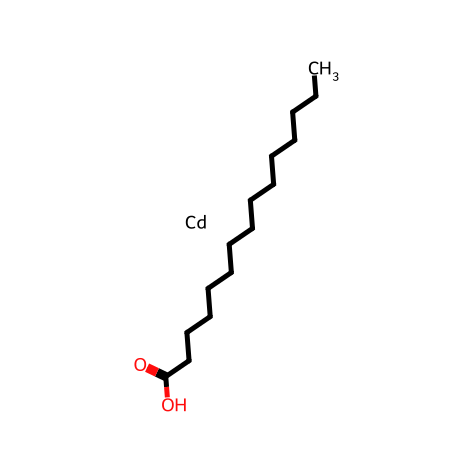 CCCCCCCCCCCCCCC(=O)O.[Cd]